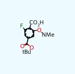 CNOc1cc(C(=O)OC(C)(C)C)cc(F)c1C(=O)O